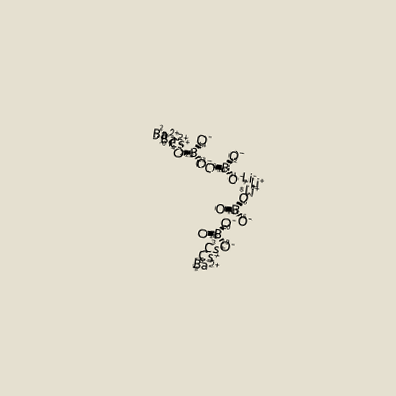 [Ba+2].[Ba+2].[Ba+2].[Cs+].[Cs+].[Cs+].[Li+].[Li+].[Li+].[O-]B([O-])[O-].[O-]B([O-])[O-].[O-]B([O-])[O-].[O-]B([O-])[O-]